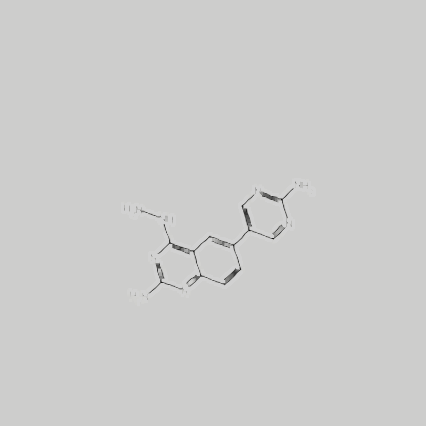 NNc1nc(N)nc2ccc(-c3cnc(N)nc3)cc12